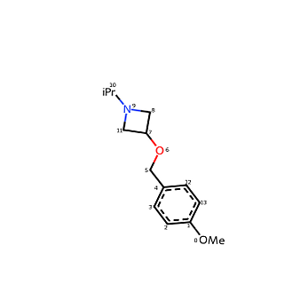 COc1ccc(COC2CN(C(C)C)C2)cc1